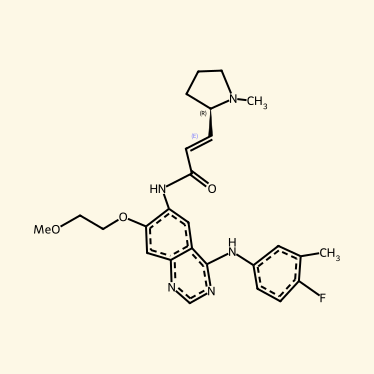 COCCOc1cc2ncnc(Nc3ccc(F)c(C)c3)c2cc1NC(=O)/C=C/[C@H]1CCCN1C